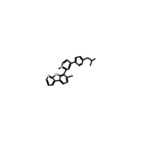 Cc1ccc2c(oc3ncccc32)c1-c1cc(-c2ccc(CC(C)C)cc2)cc[n+]1C